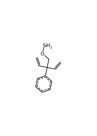 C=CC(C=C)(CO[SiH3])c1ccccc1